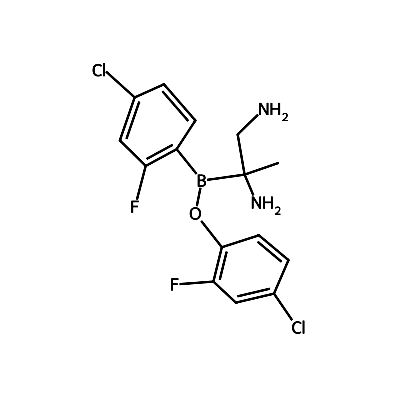 CC(N)(CN)B(Oc1ccc(Cl)cc1F)c1ccc(Cl)cc1F